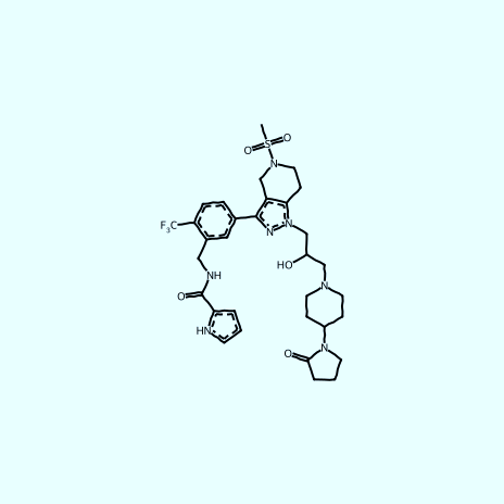 CS(=O)(=O)N1CCc2c(c(-c3ccc(C(F)(F)F)c(CNC(=O)c4ccc[nH]4)c3)nn2CC(O)CN2CCC(N3CCCC3=O)CC2)C1